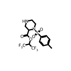 Cc1ccc(S(=O)(=O)N2CCNCC2C(=O)OC(C(F)(F)F)C(F)(F)F)cc1